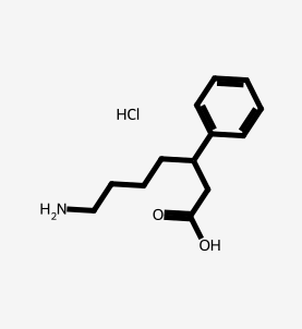 Cl.NCCCCC(CC(=O)O)c1ccccc1